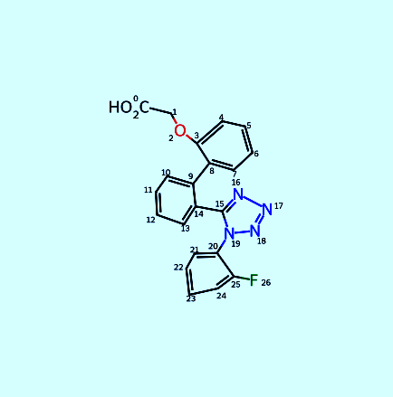 O=C(O)COc1ccccc1-c1ccccc1-c1nnnn1-c1ccccc1F